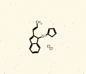 CC=CC1=Cc2ccccc2[CH]1[Zr+2][C]1=CC=CC1.[Cl-].[Cl-]